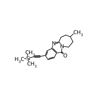 CC1CCc2nc3cc(C#C[Si](C)(C)C)ccc3c(=O)n2CC1